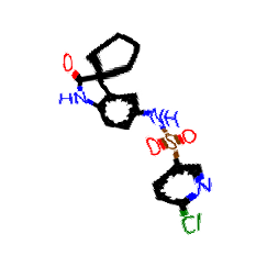 O=C1Nc2ccc(NS(=O)(=O)c3ccc(Cl)nc3)cc2C12CCCC2